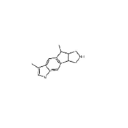 Cc1coc2cc3c(cc12)C(C)C1CNCC31